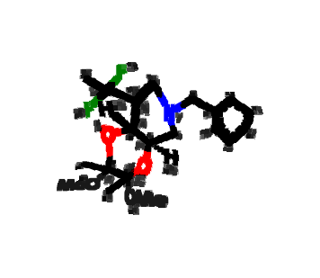 CO[C@@]1(C)O[C@H]2[C@@H](CN(Cc3ccccc3)C[C@@H]2C(C)(F)F)O[C@]1(C)OC